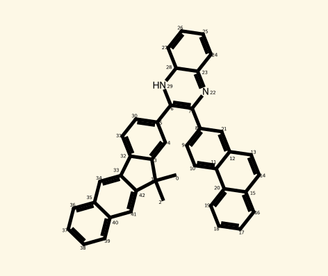 CC1(C)c2cc(C3=C(c4ccc5c(ccc6ccccc65)c4)N=C4C=CC=CC4N3)ccc2-c2cc3ccccc3cc21